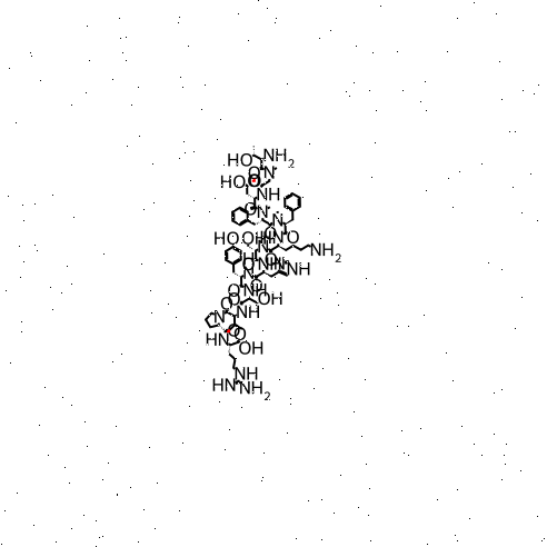 CC(C)[C@H](NC(=O)[C@@H](NC(=O)[C@H](Cc1ccc(O)cc1)NC(=O)[C@H](Cc1c[nH]cn1)NC(=O)[C@H](CO)N(C)C(=O)[C@H](CCCCN)NC(=O)[C@H](Cc1ccccc1)N(C)C(=O)[C@H](Cc1ccccc1)N(C)C(=O)[C@H](CC(=O)O)NC(=O)CN(C)C(=O)[C@@H](N)[C@@H](C)O)[C@@H](C)O)C(=O)N1CCC[C@H]1C(=O)N[C@@H](CCCNC(=N)N)C(=O)O